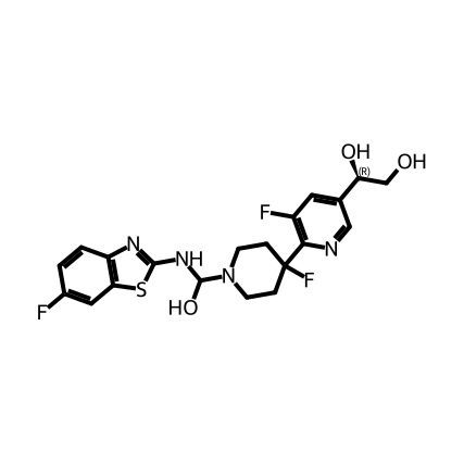 OC[C@H](O)c1cnc(C2(F)CCN(C(O)Nc3nc4ccc(F)cc4s3)CC2)c(F)c1